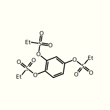 CCS(=O)(=O)Oc1ccc(OS(=O)(=O)CC)c(OS(=O)(=O)CC)c1